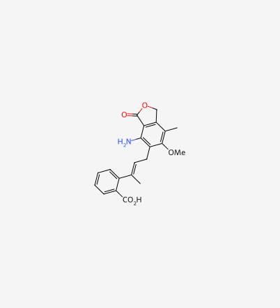 COc1c(C)c2c(c(N)c1C/C=C(\C)c1ccccc1C(=O)O)C(=O)OC2